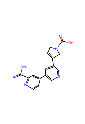 N=C(N)c1cc(-c2cncc(C3=CCN(C(=O)O)C3)c2)ccn1